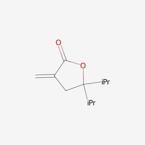 C=C1CC(C(C)C)(C(C)C)OC1=O